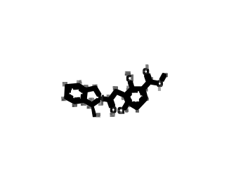 COC(=O)c1ccc(Cl)c(CC(=O)N2Cc3ccccc3[C@@H]2C)c1Cl